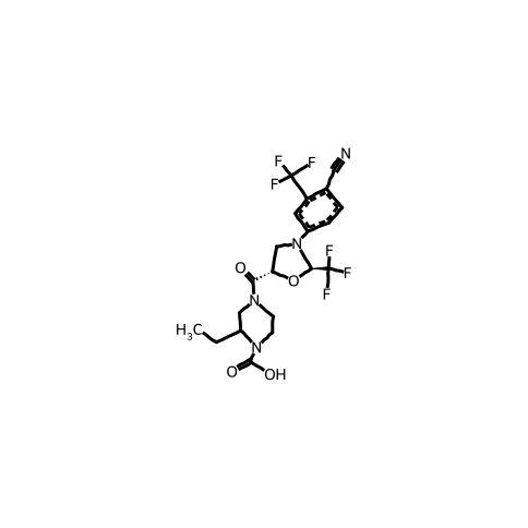 CCC1CN(C(=O)[C@@H]2CN(c3ccc(C#N)c(C(F)(F)F)c3)[C@@H](C(F)(F)F)O2)CCN1C(=O)O